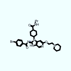 CC(C)NC(=O)C1CCC(n2/c(=N/C(=O)c3ccc(Br)cc3)[nH]c3cnc(OCCN4CCCCC4)cc32)CC1